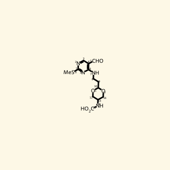 CSc1ncc(C=O)c(NCCC2OCC(NC(=O)O)CO2)n1